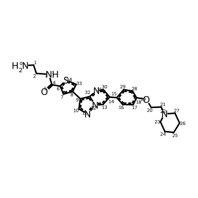 NCCNC(=O)c1cc(-c2cnn3cc(-c4ccc(OCCN5CCCCC5)cc4)cnc23)cs1